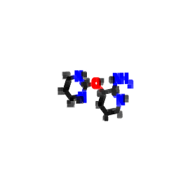 Nc1ncccc1Oc1ncccn1